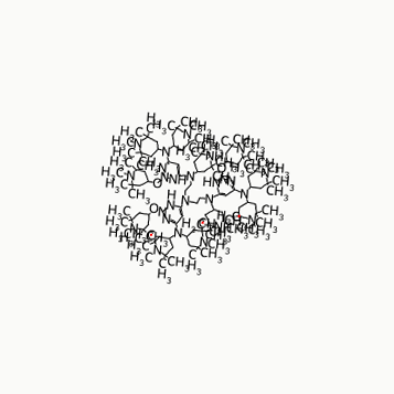 CN1C(C)(C)CC(ON2N=C(N(C3CC(C)(C)N(C)C(C)(C)C3)C3CC(C)(C)N(C)C(C)(C)C3)C=C(N(CCN(C3=CC(N(C4CC(C)(C)N(C)C(C)(C)C4)C4CC(C)(C)N(C)C(C)(C)C4)=NN(OC4CC(C)(C)N(C)C(C)(C)C4)N3)C3CC(C)(C)NC(C)(C)C3)CCN(C3=CC(N(C4CC(C)(C)N(C)C(C)(C)C4)C4CC(C)(C)N(C)C(C)(C)C4)=NN(OC4CC(C)(C)N(C)C(C)(C)C4)N3)C3CC(C)(C)NC(C)(C)C3)N2)CC1(C)C